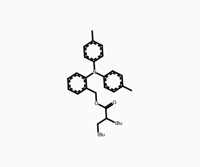 Cc1ccc(N(c2ccc(C)cc2)c2ccccc2COC(=O)C(CC(C)(C)C)C(C)(C)C)cc1